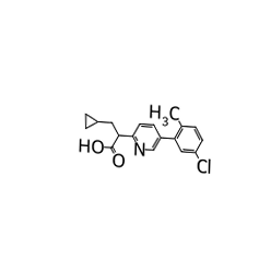 Cc1ccc(Cl)cc1-c1ccc(C(CC2CC2)C(=O)O)nc1